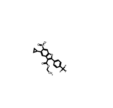 CCOC(=O)c1c(-c2ccc(C(F)(F)F)cc2)oc2cc([N+](=O)[O-])c(C3CC3)cc12